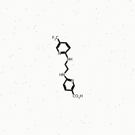 O=C(O)c1ccc(NCCNc2ccc(C(F)(F)F)cn2)nc1